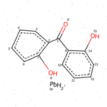 O=C(c1ccccc1O)c1ccccc1O.[PbH2]